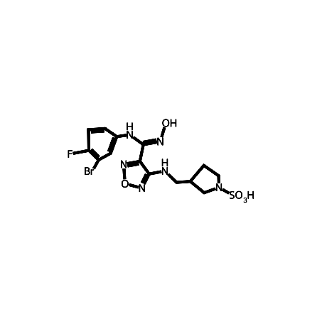 O=S(=O)(O)N1CCC(CNc2nonc2/C(=N/O)Nc2ccc(F)c(Br)c2)C1